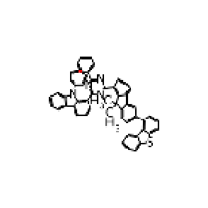 CC1(C)c2ccc(-c3cccc4sc5ccccc5c34)cc2-c2cccc(-c3nc(-c4ccccc4)nc(-c4cccc5c6ccccc6n(-c6ccccc6)c45)n3)c21